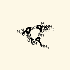 C[C@@H](O)[C@@H]1NC(=O)C(CCCCN)NC(=O)c2cc(NC(=N)N)ccc2OCc2ccc(C(N)=O)cc2NC1=O